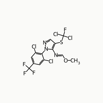 COC=Nc1c(SC(F)(Cl)Cl)cnn1-c1c(Cl)cc(C(F)(F)F)cc1Cl